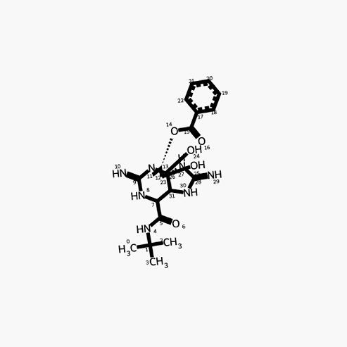 CC(C)(C)NC(=O)C1NC(=N)N2C[C@H](OC(=O)c3ccccc3)C(O)(O)[C@@]23NC(=N)NC13